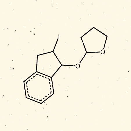 IC1Cc2ccccc2C1OC1CCCO1